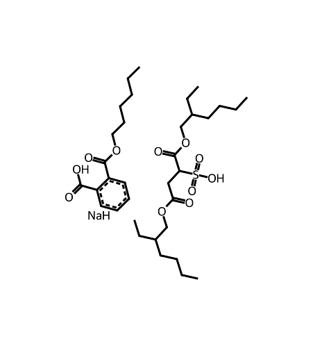 CCCCC(CC)COC(=O)CC(C(=O)OCC(CC)CCCC)S(=O)(=O)O.CCCCCCOC(=O)c1ccccc1C(=O)O.[NaH]